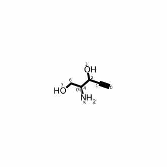 C#CC(O)[C@@H](N)CO